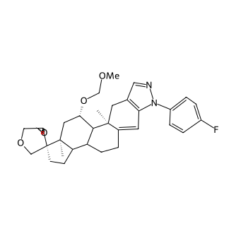 COCO[C@H]1C[C@@]2(C)C(CC[C@@]23COCC32CCOC2)C2CCC3=Cc4c(cnn4-c4ccc(F)cc4)C[C@]3(C)C21